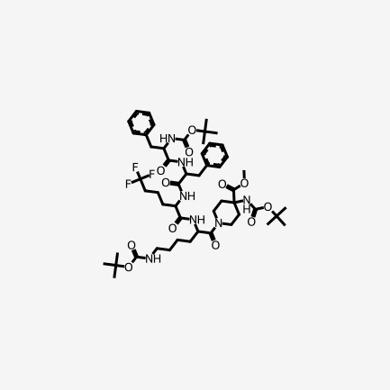 COC(=O)C1(NC(=O)OC(C)(C)C)CCN(C(=O)C(CCCCNC(=O)OC(C)(C)C)NC(=O)C(CCCC(F)(F)F)NC(=O)C(Cc2ccccc2)NC(=O)C(Cc2ccccc2)NC(=O)OC(C)(C)C)CC1